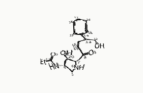 CCC(=O)N[C@H]1CN[C@H](C(=O)CC(CO)c2ccccc2)[C@@H]1O